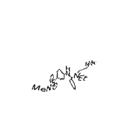 CCN(CCN=[N+]=[N-])C(=O)Nc1ccc(S(=O)(=O)NC)cc1